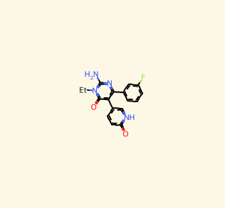 CCn1c(N)nc(-c2cccc(F)c2)c(-c2ccc(=O)[nH]c2)c1=O